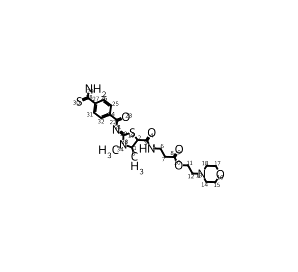 CC1C(C(=O)NCCC(=O)OCCN2CCOCC2)SC(=NC(=O)c2ccc(C(N)=S)cc2)N1C